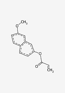 C=CC(=O)Oc1ccc2ccc(OC)cc2c1